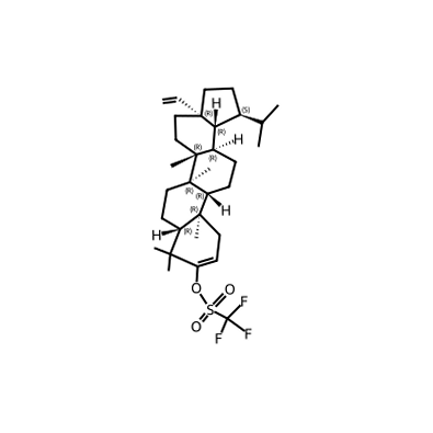 C=C[C@]12CC[C@@H](C(C)C)[C@@H]1[C@H]1CC[C@@H]3[C@@]4(C)CC=C(OS(=O)(=O)C(F)(F)F)C(C)(C)[C@@H]4CC[C@@]3(C)[C@]1(C)CC2